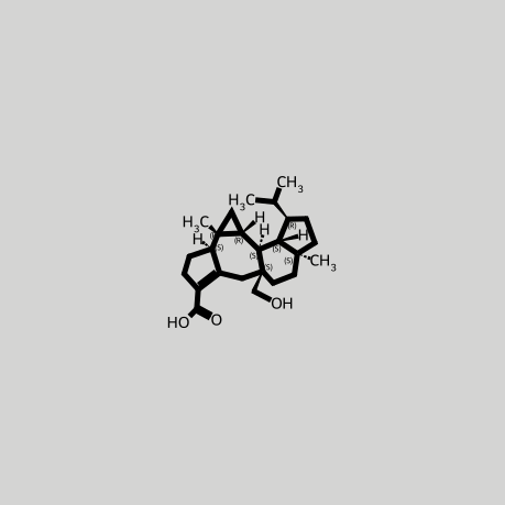 CC(C)[C@H]1CC[C@@]2(C)CC[C@]3(CO)CC4=C(C(=O)O)CC[C@H]4[C@]4(C)C[C@@H]4[C@H]3[C@H]12